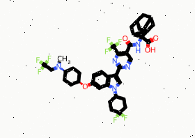 CN(CC(F)(F)F)[C@H]1CC[C@@H](Oc2ccc3c(-c4ncc(C(=O)NC5(C(=O)O)C6CC7CC(C6)CC5C7)c(C(F)(F)F)n4)cn(C4CCC(F)(F)CC4)c3c2)CC1